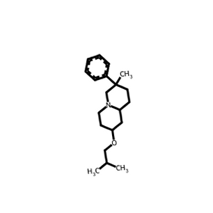 CC(C)COC1CCN2CC(C)(c3ccccc3)CCC2C1